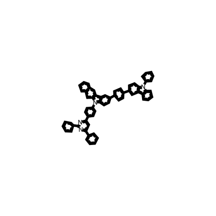 c1ccc(-c2cc(-c3ccc(-n4c5ccc(-c6ccc(-c7ccc8c(c7)c7ccccc7n8-c7ccccc7)cc6)cc5c5cc6ccccc6cc54)cc3)nc(-c3ccccc3)n2)cc1